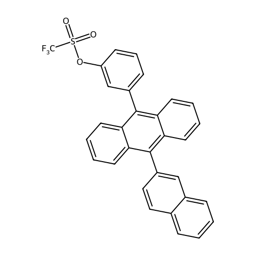 O=S(=O)(Oc1cccc(-c2c3ccccc3c(-c3ccc4ccccc4c3)c3ccccc23)c1)C(F)(F)F